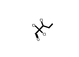 CCC(Cl)C(Cl)(Cl)[C]=O